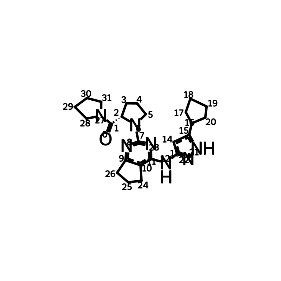 O=C([C@@H]1CCCN1c1nc2c(c(Nc3cc(C4CCCC4)[nH]n3)n1)CCC2)N1CCCC1